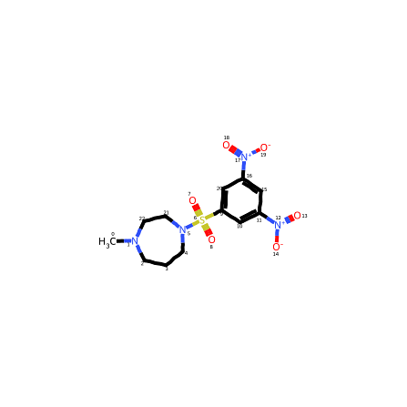 CN1CCCN(S(=O)(=O)c2[c]c([N+](=O)[O-])cc([N+](=O)[O-])c2)CC1